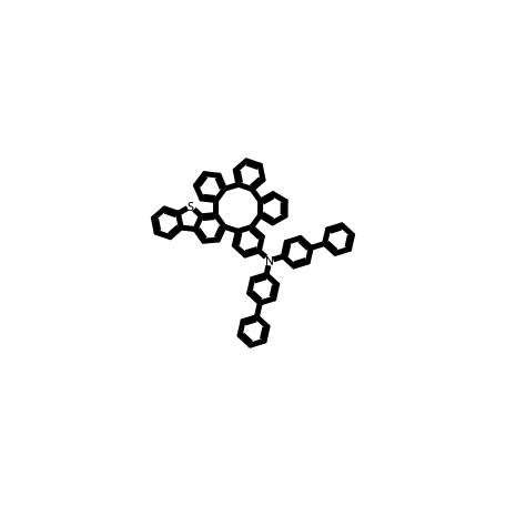 c1ccc(-c2ccc(N(c3ccc(-c4ccccc4)cc3)c3ccc4c(c3)c3ccccc3c3ccccc3c3ccccc3c3c4ccc4c5ccccc5sc43)cc2)cc1